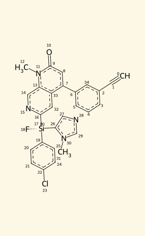 C#Cc1cccc(-c2cc(=O)n(C)c3cnc([Si@](F)(c4ccc(Cl)cc4)c4cncn4C)cc23)c1